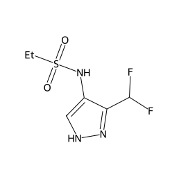 CCS(=O)(=O)Nc1c[nH]nc1C(F)F